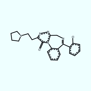 O=c1c(CCN2CCCC2)nnc2n1-c1ccccc1C(c1ccccc1Cl)=NC2